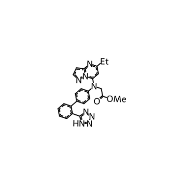 CCc1cc(N(CC(=O)OC)c2ccc(-c3ccccc3-c3nnn[nH]3)cc2)n2nccc2n1